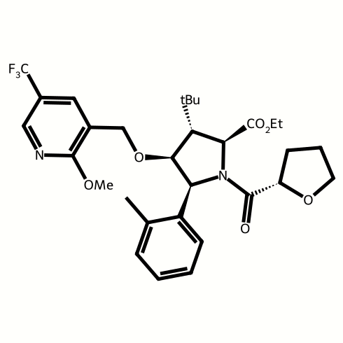 CCOC(=O)[C@@H]1[C@@H](C(C)(C)C)[C@H](OCc2cc(C(F)(F)F)cnc2OC)[C@H](c2ccccc2C)N1C(=O)[C@@H]1CCCO1